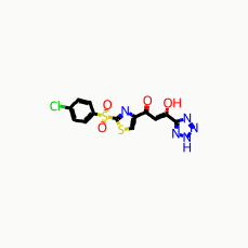 O=C(C=C(O)c1nn[nH]n1)c1csc(S(=O)(=O)c2ccc(Cl)cc2)n1